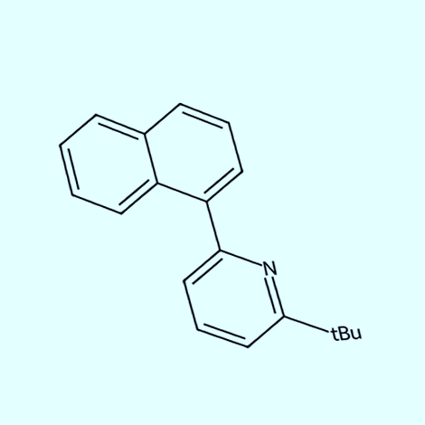 CC(C)(C)c1cccc(-c2cccc3ccccc23)n1